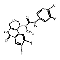 CN(C(=O)Nc1ccc(Cl)c(F)c1)C1COCc2[nH]c(=O)c3cc(F)c(F)cc3c21